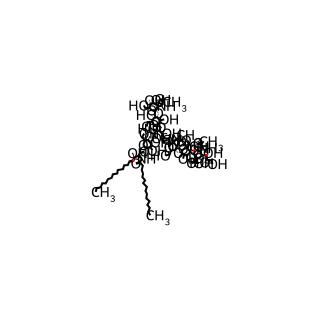 CCCCCCCCCCCCC/C=C/[C@@H](O)[C@H](CO[C@@H]1OC(CO)[C@@H](O[C@@H]2OC(CO[C@@H]3OC(CO)[C@@H](O[C@@H]4OC(CO)[C@H](O)[C@H](O[C@]5(C(=O)O)CC(O)[C@@H](NC(C)=O)C([C@H](O)[C@H](O)CO)O5)C4O)[C@H](O)C3NC(C)=O)[C@H](O)[C@H](O[C@H]3OC(CO)[C@H](O)[C@H](O[C@@H]4OC(CO)[C@H](O)[C@H](O)C4NC(C)=O)C3O)C2O)[C@H](O)C1O)NC(=O)CCCCCCCCCCCCCCC